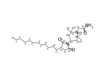 CCCCCCCCCCCCC1CC(=O)N(C2CC(C)(C)N(CC(N)=O)C(C)(C)C2)C1=O